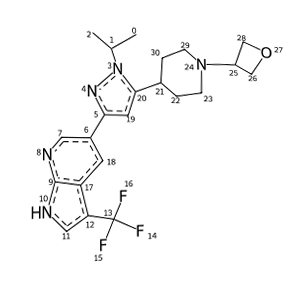 CC(C)n1nc(-c2cnc3[nH]cc(C(F)(F)F)c3c2)cc1C1CCN(C2COC2)CC1